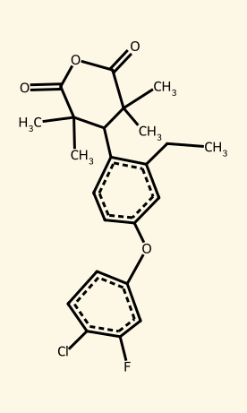 CCc1cc(Oc2ccc(Cl)c(F)c2)ccc1C1C(C)(C)C(=O)OC(=O)C1(C)C